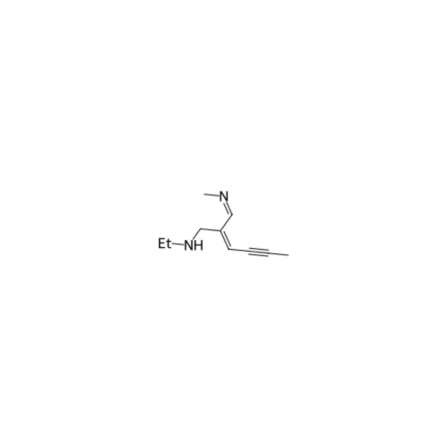 CC#C/C=C(\C=N/C)CNCC